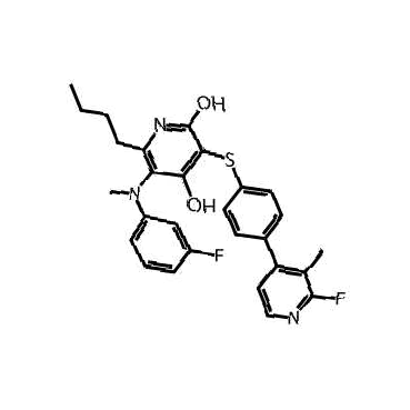 CCCCc1nc(O)c(Sc2ccc(-c3ccnc(F)c3C)cc2)c(O)c1N(C)c1cccc(F)c1